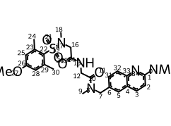 CNc1ccc2cc(CN(C)C(=O)CNC(=O)CN(C)S(=O)(=O)c3c(C)cc(OC)cc3C)ccc2n1